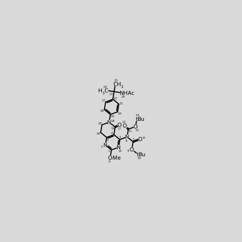 COc1nc2c(c(N(C(=O)OC(C)(C)C)C(=O)OC(C)(C)C)n1)C(=O)N(c1ccc(C(C)(C)NC(C)=O)cc1)CC2